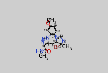 CNC(=O)c1nnn2c1CC1N(C=NC1(C)Br)c1ccc(OC)cc1-2